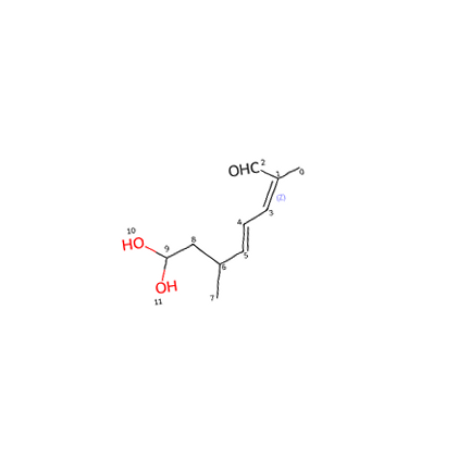 C/C(C=O)=C/C=CC(C)CC(O)O